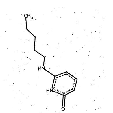 CCCCCNc1cccc(=O)[nH]1